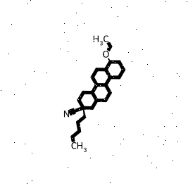 CCCCC[C@@]1(C#N)CCC2C(CCC3C2CCC2C3CCC[C@H]2OCC)C1